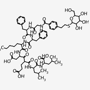 CCCCCC(NC(=O)C(Cc1ccccc1)NC(=O)C(Cc1ccccc1)NC(=O)CNC(=O)c1ccc(CCSC2OC(CO)C(O)C(O)C2O)cc1)C(=O)NC(CC(=O)O)C(=O)C(CCC(=O)O)C(=O)NC(CC(C)C)C(=O)NC(CC(C)C)C(=O)O